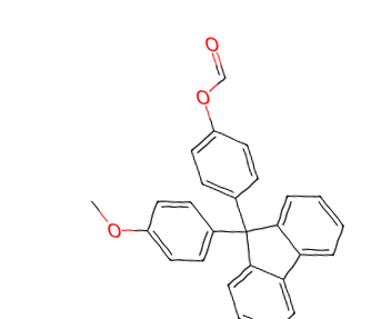 COc1ccc(C2(c3ccc(OC=O)cc3)c3ccccc3-c3ccccc32)cc1